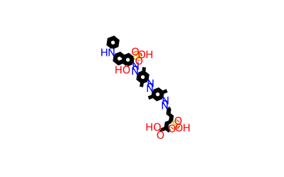 C\C(=C/C(=C\C=C\N=Nc1cc(C)c(N=Nc2cc(C)c(N=Nc3c(S(=O)(=O)O)cc4cc(Nc5ccccc5)ccc4c3O)cc2C)cc1C)S(=O)(=O)O)C(=O)O